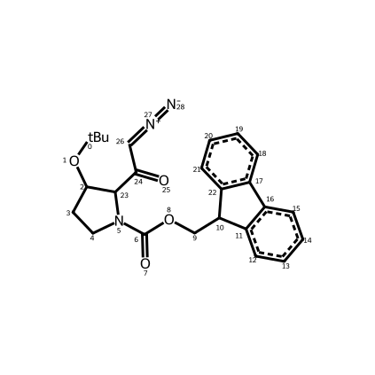 CC(C)(C)OC1CCN(C(=O)OCC2c3ccccc3-c3ccccc32)C1C(=O)C=[N+]=[N-]